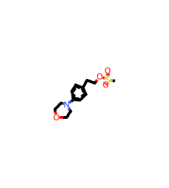 CS(=O)(=O)OCCc1ccc(N2CCOCC2)cc1